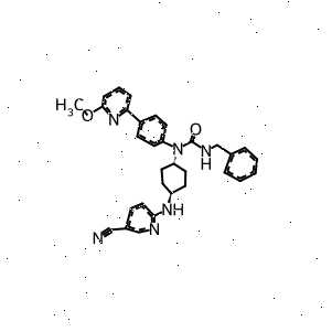 COc1cccc(-c2ccc(N(C(=O)NCc3ccccc3)[C@H]3CC[C@H](Nc4ccc(C#N)cn4)CC3)cc2)n1